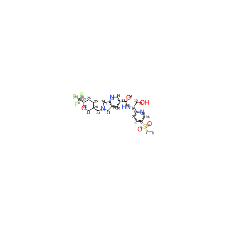 CCS(=O)(=O)c1ccc([C@H](CO)NC(=O)c2cnc3c(c2)CN(C[C@@H]2CCC(C(F)(F)F)OC2)C3)nc1